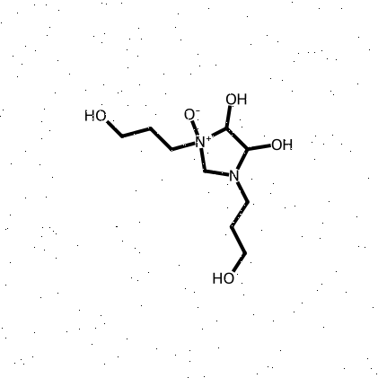 [O-][N+]1(CCCO)CN(CCCO)C(O)C1O